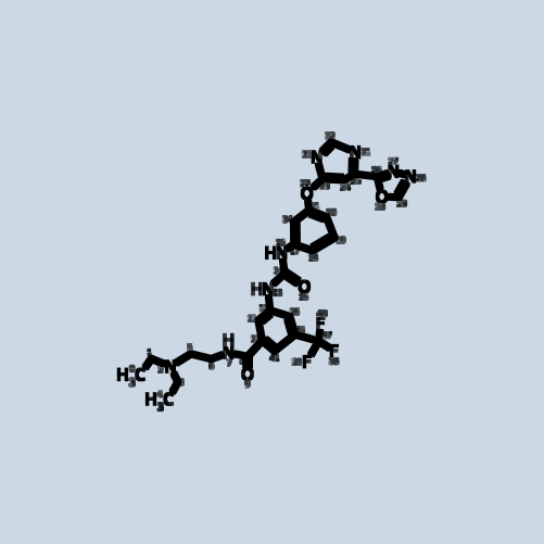 CCN(CC)CCNC(=O)c1cc(NC(=O)Nc2cccc(Oc3cc(-c4nnco4)ncn3)c2)cc(C(F)(F)F)c1